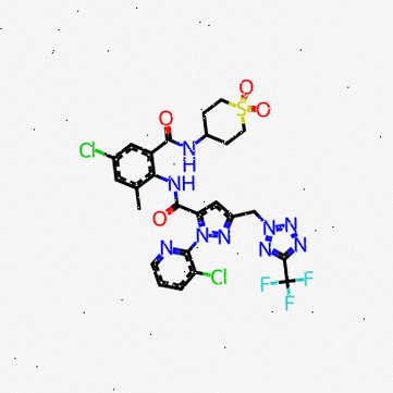 Cc1cc(Cl)cc(C(=O)NC2CCS(=O)(=O)CC2)c1NC(=O)c1cc(Cn2nnc(C(F)(F)F)n2)nn1-c1ncccc1Cl